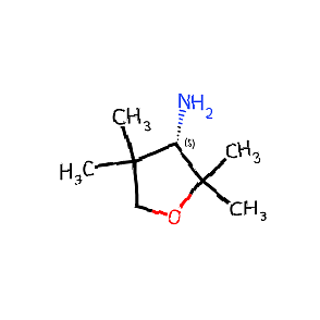 CC1(C)COC(C)(C)[C@H]1N